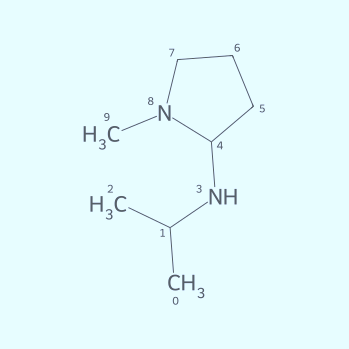 CC(C)NC1CCCN1C